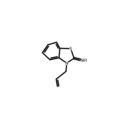 C=CCn1c(=N)sc2ccccc21